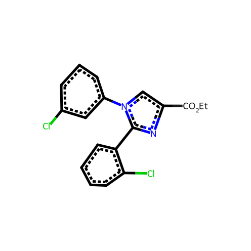 CCOC(=O)c1cn(-c2cccc(Cl)c2)c(-c2ccccc2Cl)n1